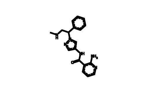 CNCC(c1ccccc1)n1cc(NC(=O)c2cccnc2N)cn1